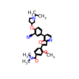 COc1cc(C(=O)N(C)C)ccc1-c1cc2nccc(-c3ccc(OC4CCN(C(C)C)C4)c(C#N)c3)c2o1